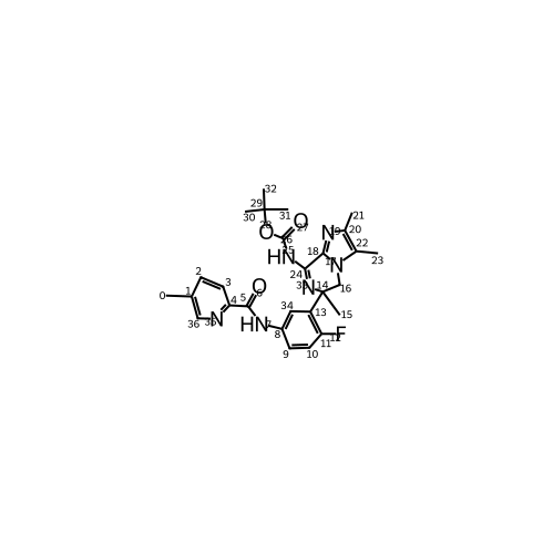 Cc1ccc(C(=O)Nc2ccc(F)c(C3(C)Cn4c(nc(C)c4C)C(NC(=O)OC(C)(C)C)=N3)c2)nc1